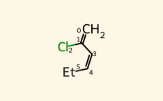 C=C(Cl)/C=C\CC